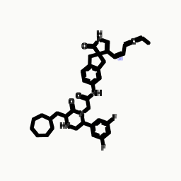 CC=C=C/C=C\C1=CNC(=O)C12Cc1ccc(NC(=O)CN3C(=O)C(CC4CCCCCC4)NCC3c3cc(F)cc(F)c3)cc1C2